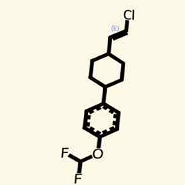 FC(F)Oc1ccc(C2CCC(/C=C/Cl)CC2)cc1